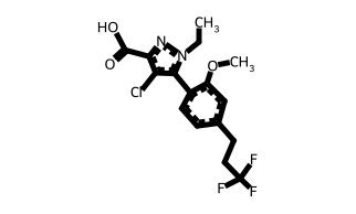 CCn1nc(C(=O)O)c(Cl)c1-c1ccc(CCC(F)(F)F)cc1OC